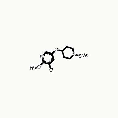 COc1ncc(OC2CCN(SC)CC2)cc1Cl